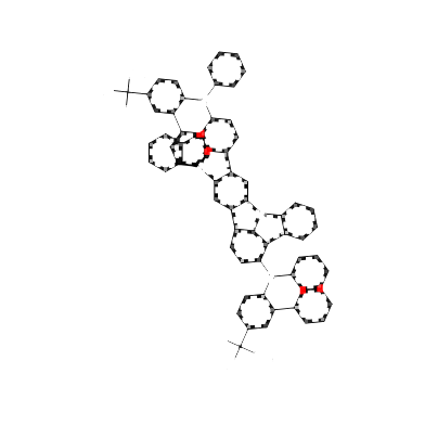 CC(C)(C)c1ccc(N(c2ccccc2)c2ccc3c4cc5c(cc4n4c6ccccc6c2c34)c2ccc(N(c3ccccc3)c3ccc(C(C)(C)C)cc3-c3ccccc3)c3c4ccccc4n5c23)c(-c2ccccc2)c1